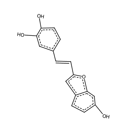 Oc1ccc2cc(/C=C/c3ccc(O)c(O)c3)oc2c1